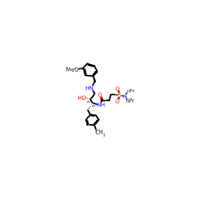 CCCN(CCC)S(=O)(=O)CCC(=O)N[C@H](Cc1ccc(C)cc1)[C@H](O)CNCc1cccc(OC)c1